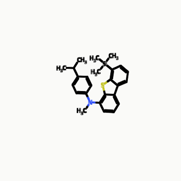 CC(C)c1ccc(N(C)c2cccc3c2sc2c([Si](C)(C)C)cccc23)cc1